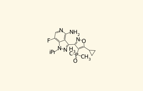 CC(C)n1nc(-c2noc(C3CC3)c2P(C)(C)=O)c2c(N)ncc(F)c21